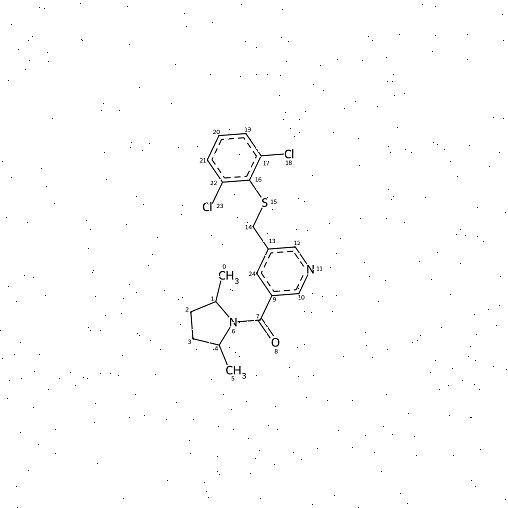 CC1CCC(C)N1C(=O)c1cncc(CSc2c(Cl)cccc2Cl)c1